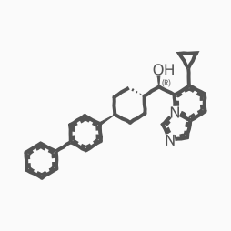 O[C@@H](c1c(C2CC2)ccc2cncn12)[C@H]1CC[C@H](c2ccc(-c3ccccc3)cc2)CC1